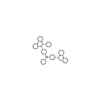 c1ccc(-c2c(-c3ccc(N(c4ccccc4)c4ccc(-c5cc6ccccc6c6ccccc56)cc4)cc3)c3ccccc3c3ccccc23)cc1